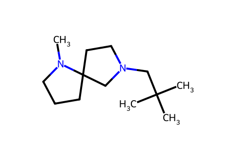 CN1CCCC12CCN(CC(C)(C)C)C2